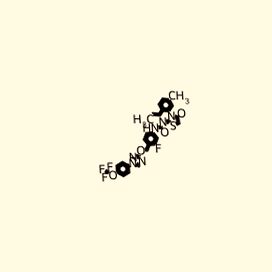 CCCc1ccc(C)cc1N1C(=O)CSC1=NC(=O)Nc1ccc(COc2ncn(-c3ccc(OC(F)(F)F)cc3)n2)c(F)c1